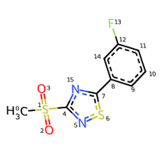 CS(=O)(=O)c1nsc(-c2cccc(F)c2)n1